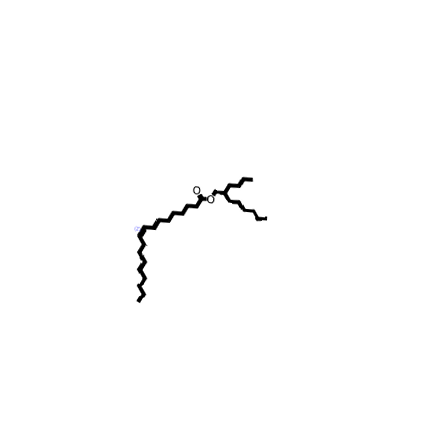 CCCCCCCC/C=C\CCCCCCCC(=O)OCC(CCCC)CCCCCC